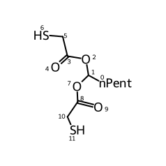 CCCCCC(OC(=O)CS)OC(=O)CS